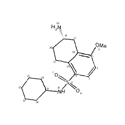 COc1ccc(S(=O)(=O)NC2CCCCC2)c2c1C[C@@H](N)CC2